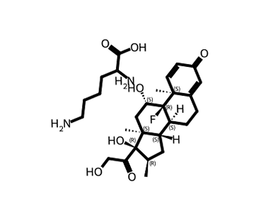 C[C@@H]1C[C@H]2[C@@H]3CCC4=CC(=O)C=C[C@]4(C)[C@@]3(F)[C@@H](O)C[C@]2(C)[C@@]1(O)C(=O)CO.NCCCCC(N)C(=O)O